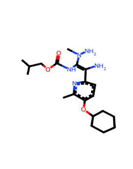 Cc1nc(/C(N)=C(\NC(=O)OCC(C)C)N(C)N)ccc1OC1CCCCC1